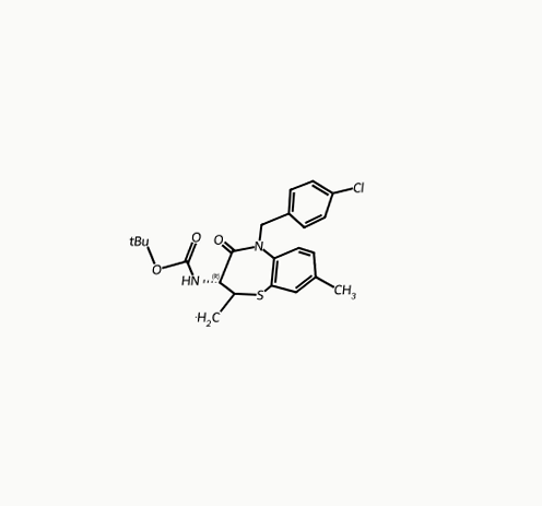 [CH2]C1Sc2cc(C)ccc2N(Cc2ccc(Cl)cc2)C(=O)[C@H]1NC(=O)OC(C)(C)C